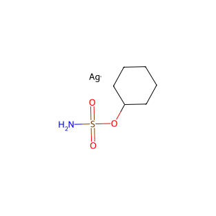 NS(=O)(=O)OC1CCCCC1.[Ag]